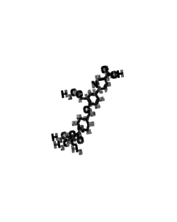 COCc1cc(-c2ccc(C(=O)O)cn2)ccc1OCC1CCN(C(=O)OC(C)(C)C)CC1